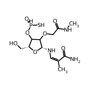 CNC(=O)COC1C(O[PH](=O)S)[C@@H](CO)O[C@H]1N/C=C(/C)C(N)=O